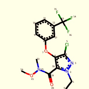 CCn1nc(Cl)c(Oc2cccc(C(F)(F)F)c2)c1C(=O)N(C)OC